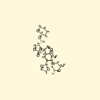 C[C@@H]1CN(c2c(C3OCCO3)cc3c(N4C(=O)OC[C@@H]4COC4CCCCO4)noc3c2F)C[C@@H](C)O1